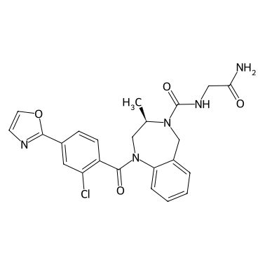 C[C@@H]1CN(C(=O)c2ccc(-c3ncco3)cc2Cl)c2ccccc2CN1C(=O)NCC(N)=O